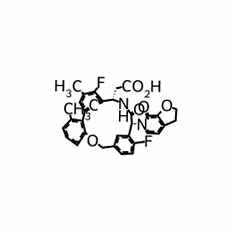 Cc1cc2cc(c1F)[C@H](CC(=O)O)NC(=O)[C@H](n1ccc3c(c1=O)OCC3)c1cc(ccc1F)COc1cccc(C)c1-2